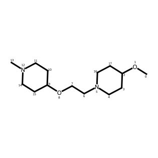 COC1CCN(CCOC2CCN(C)CC2)CC1